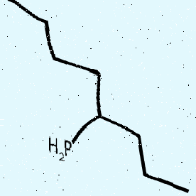 CCCCC(P)CCC